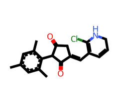 Cc1cc(C)c(C2C(=O)CC(=CC3=C(Cl)NCC=C3)C2=O)c(C)c1